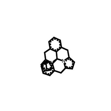 c1cc2c3c(c1)Cc1ccc4n1C31c3c(cccc3C4)Cc3ccc(n31)C2